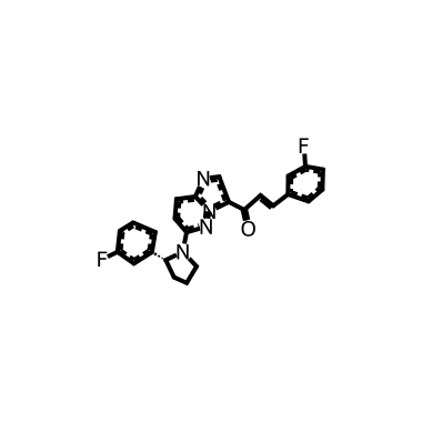 O=C(C=Cc1cccc(F)c1)c1cnc2ccc(N3CCC[C@@H]3c3cccc(F)c3)nn12